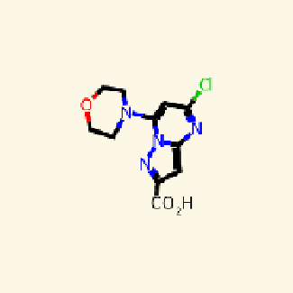 O=C(O)c1cc2nc(Cl)cc(N3CCOCC3)n2n1